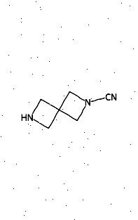 N#CN1CC2(CNC2)C1